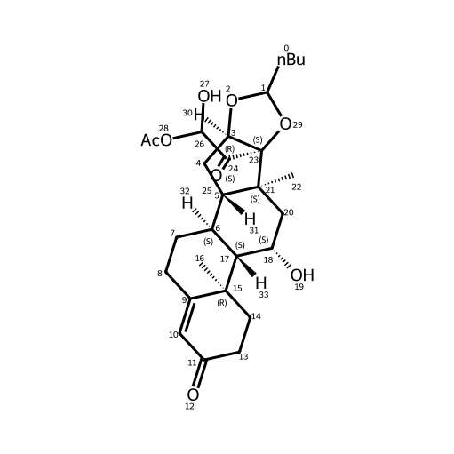 CCCCC1O[C@@H]2C[C@H]3[C@@H]4CCC5=CC(=O)CC[C@]5(C)[C@H]4[C@@H](O)C[C@]3(C)[C@]2(C(=O)C(O)OC(C)=O)O1